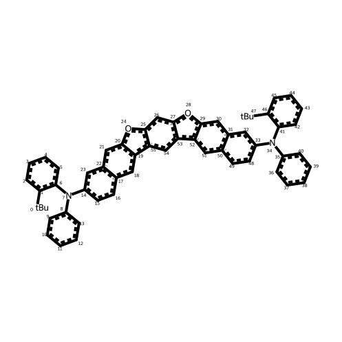 CC(C)(C)c1ccccc1N(c1ccccc1)c1ccc2cc3c(cc2c1)oc1cc2oc4cc5cc(N(c6ccccc6)c6ccccc6C(C)(C)C)ccc5cc4c2cc13